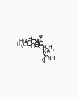 C[C@H](CN/C=C(/C#N)C=N)[C@H]1C[C@@H](C2CC2)[C@H]2[C@@H]3CC[C@@H]4C[C@](C)(O)CC[C@@H]4[C@H]3CC[C@@]21C